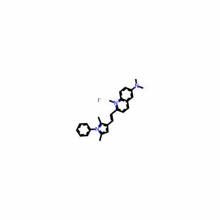 Cc1cc(/C=C/c2ccc3cc(N(C)C)ccc3[n+]2C)c(C)n1-c1ccccc1.[I-]